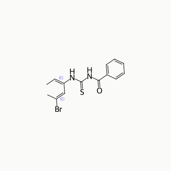 C/C=C(\C=C(/C)Br)NC(=S)NC(=O)c1ccccc1